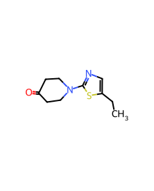 CCc1cnc(N2CCC(=O)CC2)s1